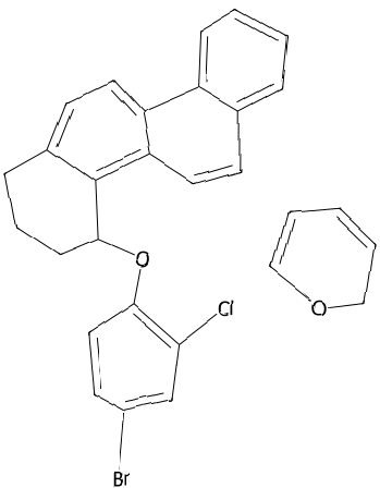 C1=CCOC=C1.Clc1cc(Br)ccc1OC1CCCc2ccc3c(ccc4ccccc43)c21